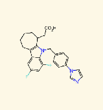 O=C(O)CC1CCCCc2c1n(Cc1ccc(-n3ccnc3)cc1)c1c(F)cc(F)cc21